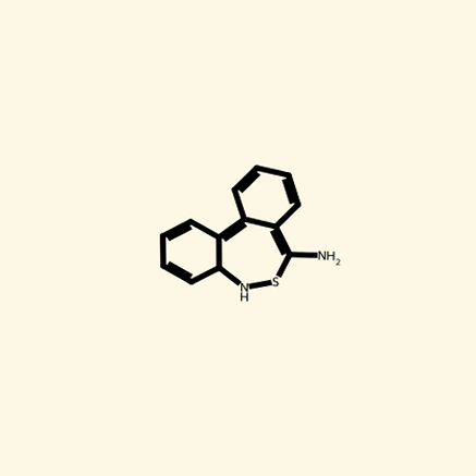 NC1=c2ccccc2=C2C=CC=CC2NS1